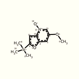 COc1cc2oc([Si](C)(C)C)cc2[n+]([O-])c1